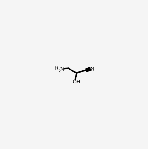 N#CC(O)CN